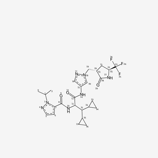 CC(C)n1nccc1C(=O)NC(C(=O)Nc1cnn(C[C@@H]2C[C@@H](C(F)(F)F)NC2=O)c1)C(C1CC1)C1CC1